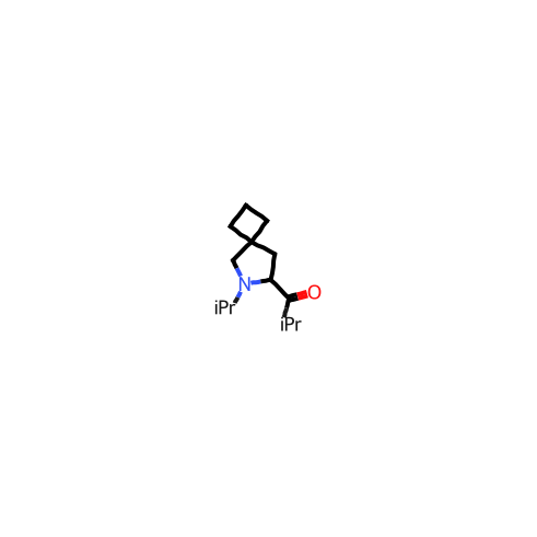 CC(C)C(=O)C1CC2(CCC2)CN1C(C)C